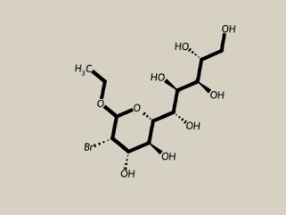 CCOC1O[C@H]([C@@H](O)[C@@H](O)[C@H](O)[C@H](O)CO)[C@@H](O)[C@H](O)[C@@H]1Br